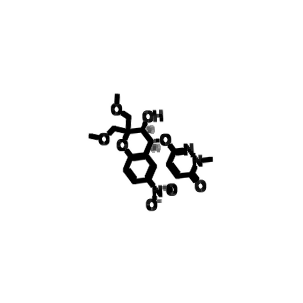 COCC1(COC)Oc2ccc([N+](=O)[O-])cc2[C@@H](Oc2ccc(=O)n(C)n2)[C@@H]1O